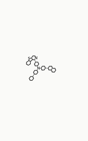 c1ccc(-c2ccc(N(c3ccc(-c4ccc5ccccc5c4)cc3)c3ccc(-c4nccc5sc6ccccc6c45)cc3)cc2)cc1